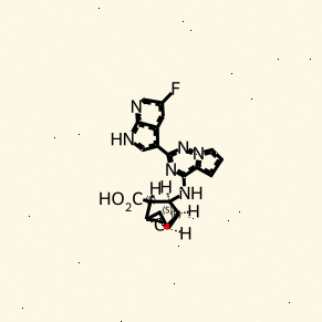 O=C(O)[C@@H]1[C@@H](Nc2nc(-c3c[nH]c4ncc(F)cc34)nn3cccc23)[C@@H]2CC[C@]13C[C@H]2C3